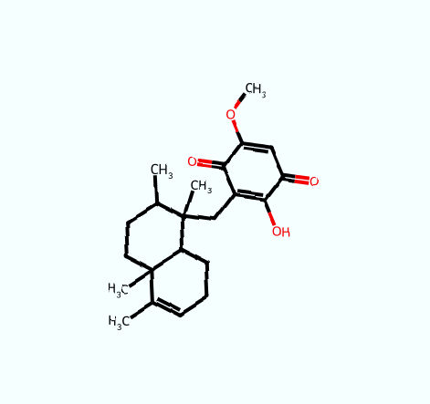 COC1=CC(=O)C(O)=C(CC2(C)C(C)CCC3(C)C(C)=CCCC32)C1=O